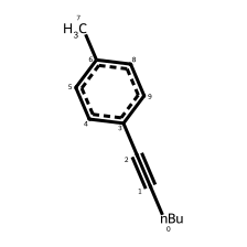 CCCCC#Cc1ccc(C)cc1